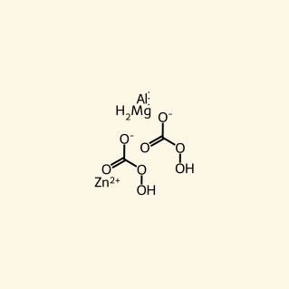 O=C([O-])OO.O=C([O-])OO.[Al].[MgH2].[Zn+2]